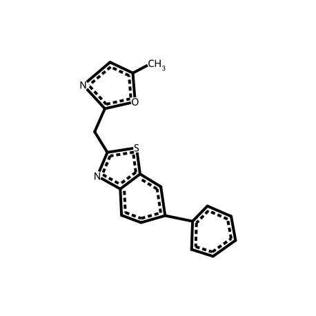 Cc1cnc(Cc2nc3ccc(-c4ccccc4)cc3s2)o1